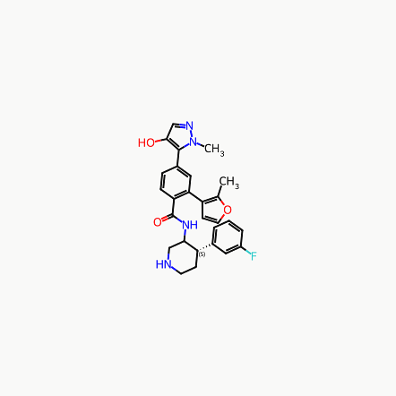 Cc1occc1-c1cc(-c2c(O)cnn2C)ccc1C(=O)NC1CNCC[C@H]1c1cccc(F)c1